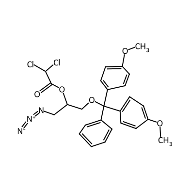 COc1ccc(C(OCC(CN=[N+]=[N-])OC(=O)C(Cl)Cl)(c2ccccc2)c2ccc(OC)cc2)cc1